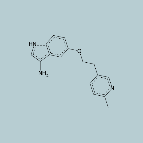 Cc1ccc(CCOc2ccc3[nH]cc(N)c3c2)cn1